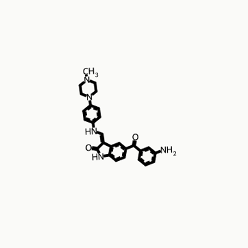 CN1CCN(c2ccc(NC=C3C(=O)Nc4ccc(C(=O)c5cccc(N)c5)cc43)cc2)CC1